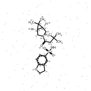 CC(C)(C)[C@H](NS(=O)(=O)c1ccc2c(c1)CCO2)C(=O)N1C[C@@H]2[C@H](C1)C2(C)C